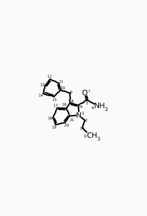 CCCn1c(C(N)=O)c(Cc2ccccc2)c2ccccc21